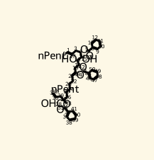 CCCCCC=CCC(OC(=O)c1ccccc1)C(O)C(O)C(CC=CCCCCC[C@](C=O)(C/C=C\CCCCC)OC(=O)c1ccccc1)OC(=O)c1ccccc1